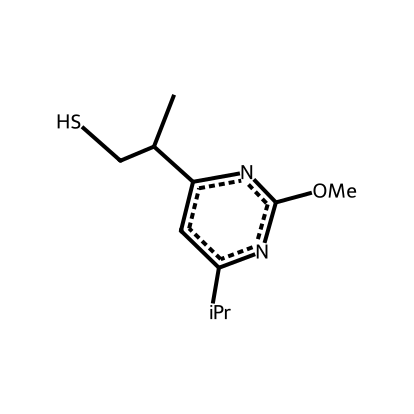 COc1nc(C(C)C)cc(C(C)CS)n1